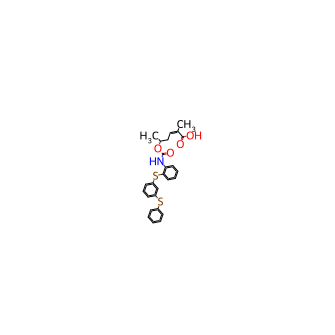 CC(=CCC(C)OC(=O)Nc1ccccc1Sc1cccc(Sc2ccccc2)c1)C(=O)O